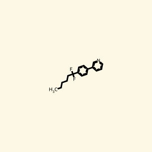 CCCCCC(F)(F)c1ccc(-c2cccnc2)cc1